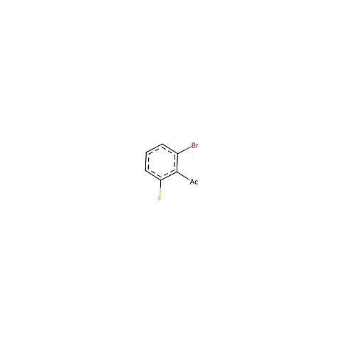 CC(=O)c1c(F)cccc1Br